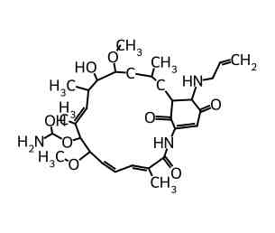 C=CCNC1C(=O)C=C2NC(=O)/C(C)=C/C=C\C(OC)C(OC(N)O)/C(C)=C/C(C)C(O)C(OC)CC(C)CC1C2=O